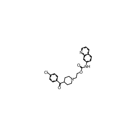 O=C(Nc1ccc2cccnc2c1)OCCN1CCC(C(=O)c2ccc(Cl)cc2)CC1